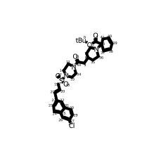 CC(C)(C)OC(=O)C1(N2CCC(CC(=O)N3CCN(S(=O)(=O)CC=Cc4ccc5cc(Cl)ccc5c4)CC3)CC2)C=CC=CC1